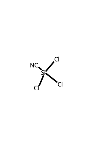 N#C[Si](Cl)(Cl)Cl